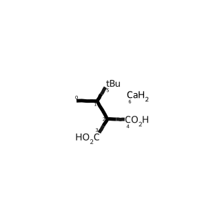 CC(C(C(=O)O)C(=O)O)C(C)(C)C.[CaH2]